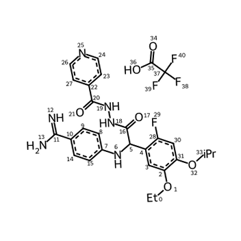 CCOc1cc(C(Nc2ccc(C(=N)N)cc2)C(=O)NNC(=O)c2ccncc2)c(F)cc1OC(C)C.O=C(O)C(F)(F)F